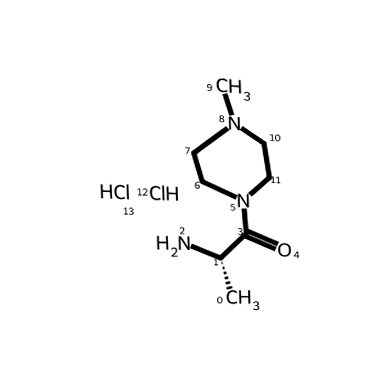 C[C@H](N)C(=O)N1CCN(C)CC1.Cl.Cl